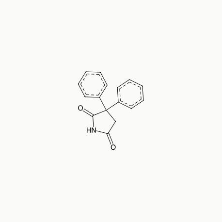 O=C1CC(c2ccccc2)(c2ccccc2)C(=O)N1